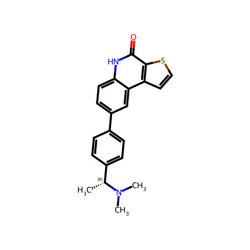 C[C@H](c1ccc(-c2ccc3[nH]c(=O)c4sccc4c3c2)cc1)N(C)C